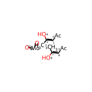 CC(=O)/C=C(/C)O.CC(=O)/C=C(\C)O.[O]=[Mo]=[O]